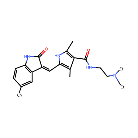 CCN(CC)CCNC(=O)c1c(C)[nH]c(/C=C2\C(=O)Nc3ccc(C#N)cc32)c1C